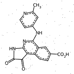 Cc1cc(Nc2nc3c(c4ccc(C(=O)O)cc24)C(=O)C(=O)N3)ccn1